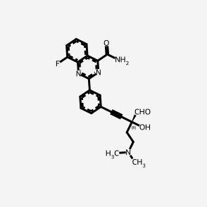 CN(C)CC[C@@](O)(C#Cc1cccc(-c2nc(C(N)=O)c3cccc(F)c3n2)c1)C=O